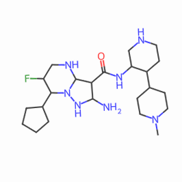 CN1CCC(C2CCNCC2NC(=O)C2C(N)NN3C2NCC(F)C3C2CCCC2)CC1